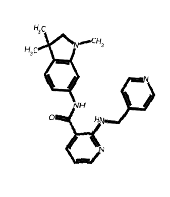 CN1CC(C)(C)c2ccc(NC(=O)c3cccnc3NCc3ccncc3)cc21